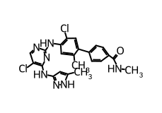 CNC(=O)c1ccc(-c2cc(Cl)c(Nc3ncc(Cl)c(Nc4cc(C)[nH]n4)n3)cc2C)cc1